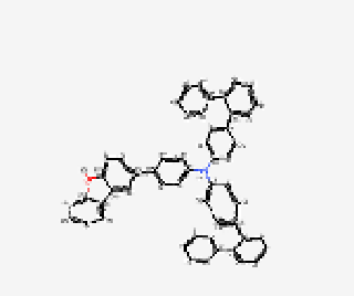 c1ccc(-c2ccccc2-c2ccc(N(c3ccc(-c4ccc5oc6ccccc6c5c4)cc3)c3ccc(-c4ccccc4-c4ccccc4)cc3)cc2)cc1